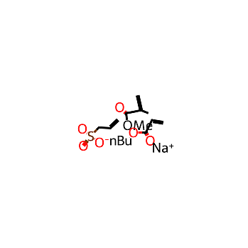 C=C(C)C(=O)OC.C=CC(=O)OCCCC.C=CCS(=O)(=O)[O-].[Na+]